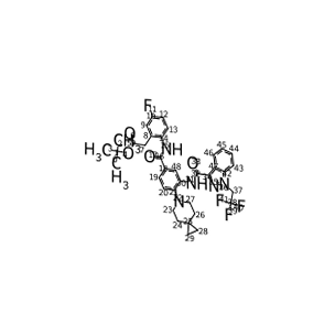 CC(C)(C)OC(=O)Cc1cc(F)ccc1NC(=O)c1ccc(N2CCC3(CC2)CC3)c(NC(=O)c2nn(CC(F)(F)F)c3ccccc23)c1